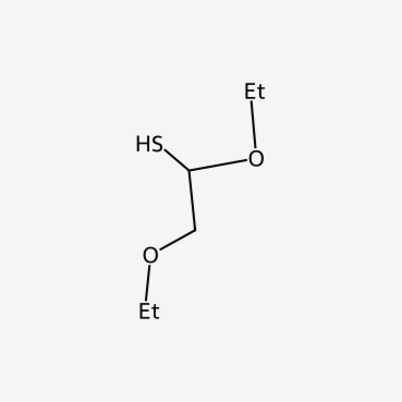 CCOCC(S)OCC